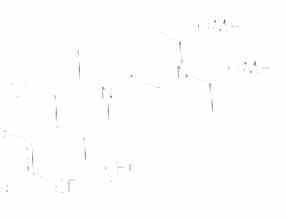 CCOC(=O)C1=C(C)N(CCN(C(C)OC)C(C)OC)C(C)=C(C(=O)OCC)C1c1ccccc1C(F)(F)F